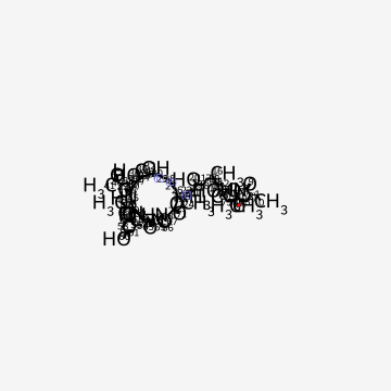 CC[C@H]1C[C@H](C)[C@@]2(NC1=O)O[C@@H](C[C@H](O)[C@@H](C)CCC(O)C/C=C(\C)[C@@H]1C/C=C/C=C/[C@H](O)[C@H](C)[C@@H](O)[C@@H](CCC(C)=O)C(=O)N[C@@H](C(C)C)C(=O)N[C@@H](Cc3cccc(O)c3)C(=O)N3CCCC(N3)C(=O)O1)[C@H](C)C=C2C